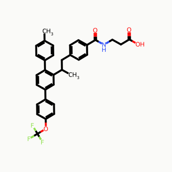 Cc1ccc(-c2ccc(-c3ccc(OC(F)(F)F)cc3)cc2C(C)Cc2ccc(C(=O)NCCC(=O)O)cc2)cc1